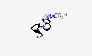 CC(=O)Cc1ccccc1N1CCCc2cc(NC(=O)O)ccc21